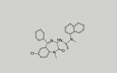 CN1C(=O)C(NC(=S)N(C)c2cccc3ccccc23)N=C(c2ccccc2)c2cc(Cl)ccc21